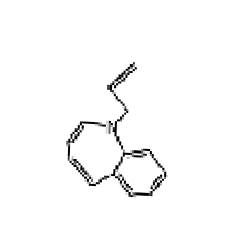 C=CCN1C=CC=Cc2ccccc21